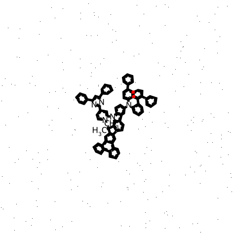 CC1(C)c2cc3c4ccccc4c4ccccc4c3cc2-c2ccc3c4cc(N(c5ccc(-c6ccccc6)cc5)c5ccccc5-c5ccccc5-c5ccccc5)ccc4n(-c4cc(-c5nc(-c6ccccc6)cc(-c6ccccc6)n5)ccn4)c3c21